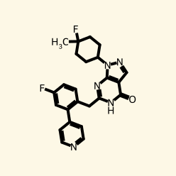 CC1(F)CCC(n2ncc3c(=O)[nH]c(Cc4ccc(F)cc4-c4ccncc4)nc32)CC1